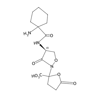 NC1(C(=O)N[C@H]2CON(C3(C(=O)O)CCC(=O)O3)C2=O)CCCCC1